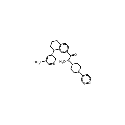 CN(C(=O)c1ccc2c(c1)C(N1C=C(C(=O)O)C=NC1)CCC2)C1CCN(c2ccncc2)CC1